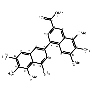 COC(=O)c1cc2c(OC)c(C)c(OC)cc2c(-c2cc3cc(C)c(C)c(OC)c3c(C)n2)n1